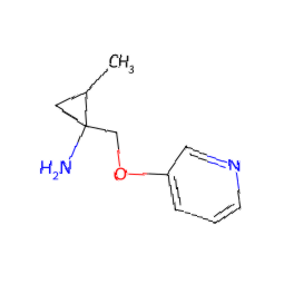 CC1CC1(N)COc1cccnc1